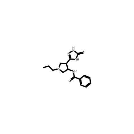 CCCN1CC(NC(=O)c2ccccc2)C(c2n[nH]c(=S)[nH]2)C1